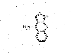 Nc1c2ccccc2nc2[nH]ncc12